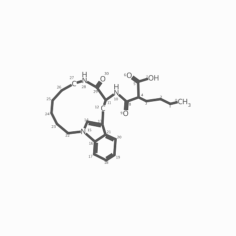 CCCCC(C(=O)O)C(=O)NC1Cc2cn(c3ccccc23)CCCCCCNC1=O